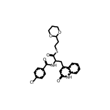 O=C(NC(Cc1cc(=O)[nH]c2ccccc12)C(=O)SCCC1OCCCO1)c1ccc(Cl)cc1